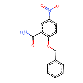 NC(=O)c1cc([N+](=O)[O-])ccc1OCc1ccccc1